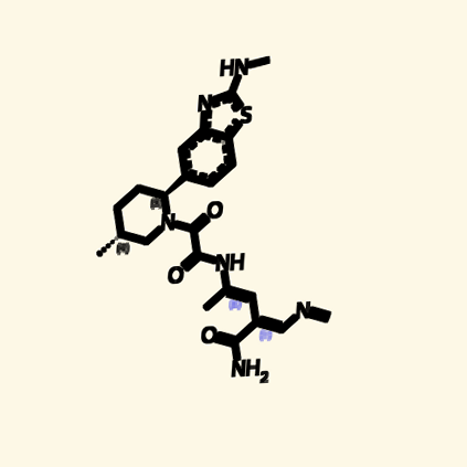 C=N/C=C(\C=C(/C)NC(=O)C(=O)N1C[C@H](C)CC[C@H]1c1ccc2sc(NC)nc2c1)C(N)=O